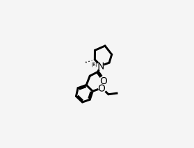 CCOc1ccccc1CC(=O)N1CCCC[C@H]1C